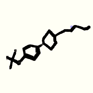 CC/C=C/C[C@H]1CC[C@H](c2ccc(OC(F)(F)F)cc2)CC1